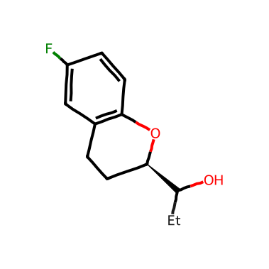 CCC(O)[C@H]1CCc2cc(F)ccc2O1